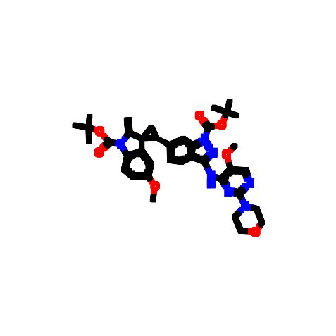 C=C1N(C(=O)OC(C)(C)C)c2ccc(OC)cc2[C@]12C[C@H]2c1ccc2c(Nc3nc(N4CCOCC4)ncc3OC)nn(C(=O)OC(C)(C)C)c2c1